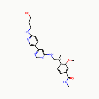 CNC(=O)c1ccc([C@H](C)CNc2cc(-c3ccc(NCCCO)nc3)ncn2)c(OC)c1